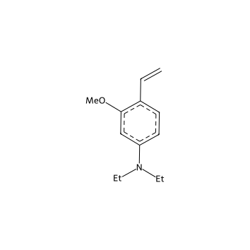 C=Cc1ccc(N(CC)CC)cc1OC